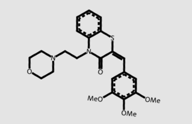 COc1cc(C=C2Sc3ccccc3N(CCN3CCOCC3)C2=O)cc(OC)c1OC